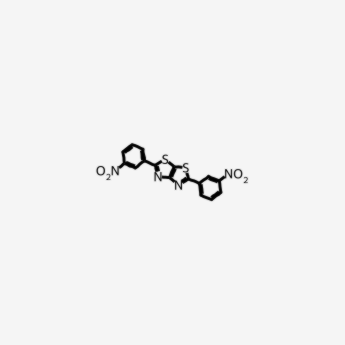 O=[N+]([O-])c1cccc(-c2nc3nc(-c4cccc([N+](=O)[O-])c4)sc3s2)c1